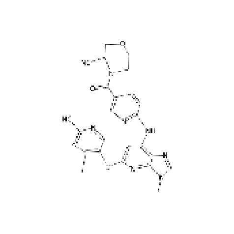 Cc1cc(C#N)ncc1Oc1cc(Nc2ccc(C(=O)N3CCOCC3C#N)cn2)c2ncn(C)c2n1